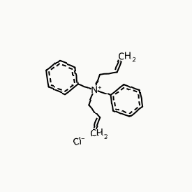 C=CC[N+](CC=C)(c1ccccc1)c1ccccc1.[Cl-]